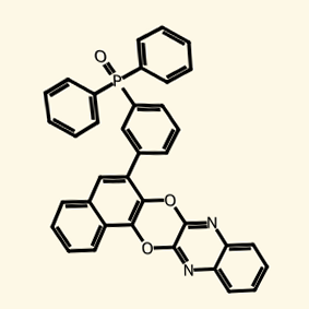 O=P(c1ccccc1)(c1ccccc1)c1cccc(-c2cc3ccccc3c3c2Oc2nc4ccccc4nc2O3)c1